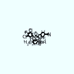 CC(N)(Cc1ccc(C#N)cc1)C(=O)Nc1cc(Cl)c(F)c(Cl)c1.Cc1ccc(S(=O)(=O)O)cc1